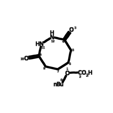 CCCCOC(=O)O.O=C1CCCCC(=O)NN1